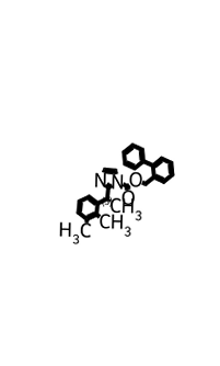 Cc1cccc([C@H](C)c2nccn2C(=O)OCc2ccccc2-c2ccccc2)c1C